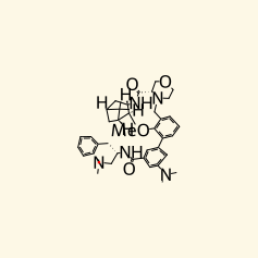 COc1c(CN2CCOC[C@H]2C(=O)N[C@H]2C[C@H]3C[C@@H]([C@@H]2C)C3(C)C)cccc1-c1cc(C(=O)N[C@@H](Cc2ccccc2)CN(C)C)cc(N(C)C)c1